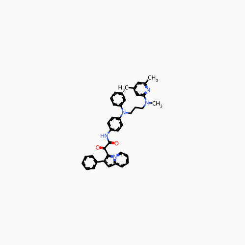 Cc1cc(C)nc(N(C)CCCN(c2ccccc2)c2ccc(NC(=O)C(=O)c3c(-c4ccccc4)cc4ccccn34)cc2)c1